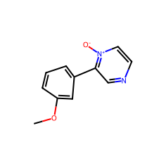 COc1cccc(-c2cncc[n+]2[O-])c1